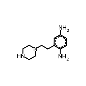 Nc1ccc(N)c(CCN2CCNCC2)c1